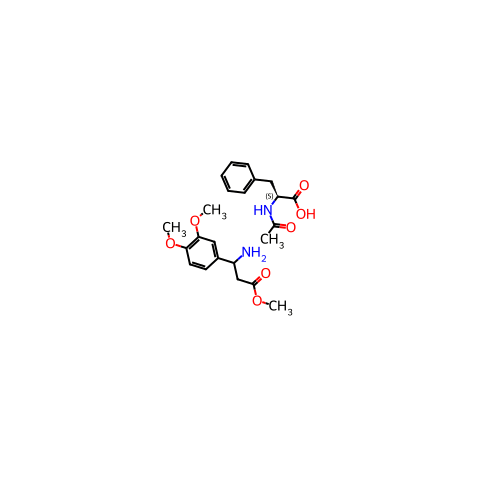 CC(=O)N[C@@H](Cc1ccccc1)C(=O)O.COC(=O)CC(N)c1ccc(OC)c(OC)c1